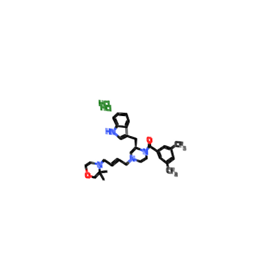 CC1(C)COCCN1C/C=C/CN1CCN(C(=O)c2cc(C(F)(F)F)cc(C(F)(F)F)c2)[C@H](Cc2c[nH]c3ccccc23)C1.Cl.Cl